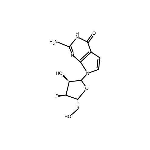 Nc1nc2c(ccn2C2O[C@H](CO)[C@@H](F)[C@H]2O)c(=O)[nH]1